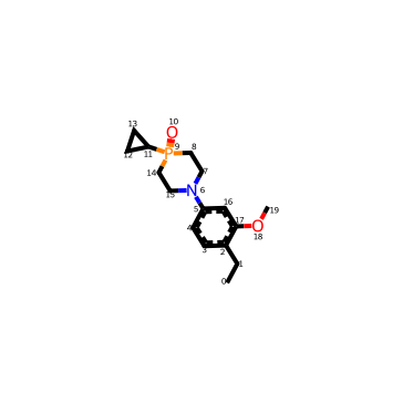 CCc1ccc(N2CCP(=O)(C3CC3)CC2)cc1OC